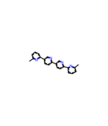 Cc1cccc(-c2ccc(-c3ccc(-c4cccc(C)n4)nc3)nc2)n1